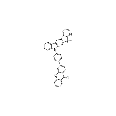 CC1(C)c2cc3c(cc2-c2cccnc21)c1ccccc1n3-c1ccc(-c2ccc3c(=O)c4ccccc4oc3c2)cc1